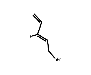 C=C/C(F)=C/CCCC